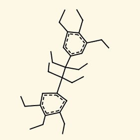 CCc1cc(C(CC)(CC)C(CC)(CC)c2cc(CC)c(CC)c(CC)c2)cc(CC)c1CC